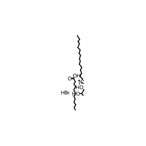 Br.CC(O)CO.CCCCCCCCCCCC(=O)O.CCCCCCCCCCCCCCCC[N+](C)(C)C